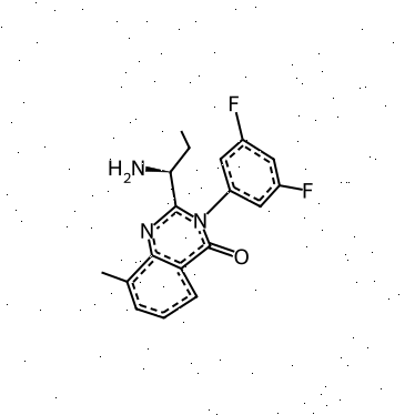 CC[C@H](N)c1nc2c(C)cccc2c(=O)n1-c1cc(F)cc(F)c1